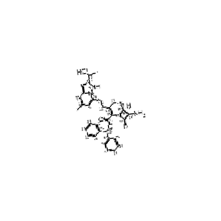 CC1=NC2=CN(C(C)O)NN2C(SCC2=C(C(=O)OC(c3ccccc3)c3ccccc3)N3C(=O)C(N)[C@@H]3SC2)=C1